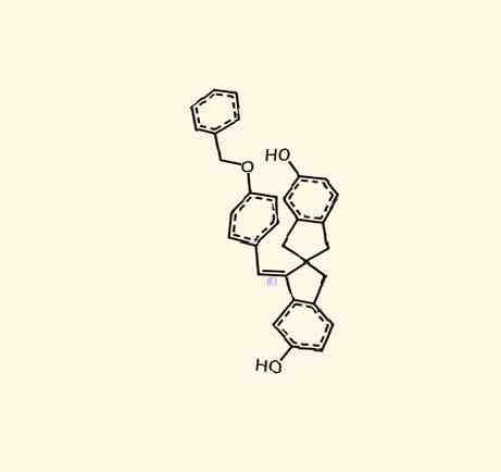 Oc1ccc2c(c1)CC1(C2)Cc2ccc(O)cc2/C1=C/c1ccc(OCc2ccccc2)cc1